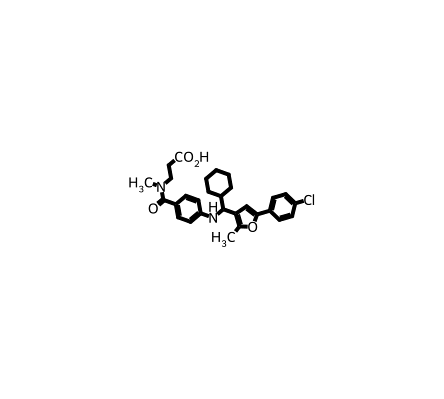 Cc1oc(-c2ccc(Cl)cc2)cc1C(Nc1ccc(C(=O)N(C)CCC(=O)O)cc1)C1CCCCC1